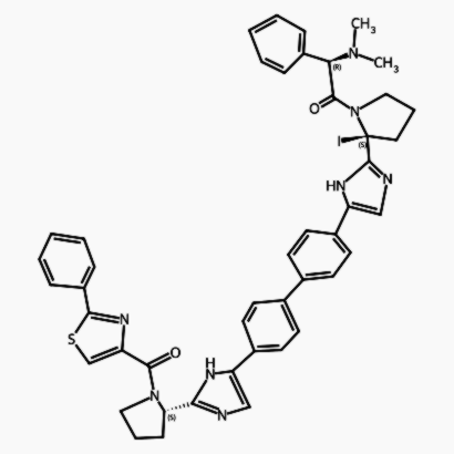 CN(C)[C@@H](C(=O)N1CCC[C@]1(I)c1ncc(-c2ccc(-c3ccc(-c4cnc([C@@H]5CCCN5C(=O)c5csc(-c6ccccc6)n5)[nH]4)cc3)cc2)[nH]1)c1ccccc1